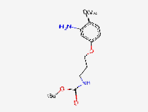 COc1ccc(OCCCNC(=O)OC(C)(C)C)cc1N